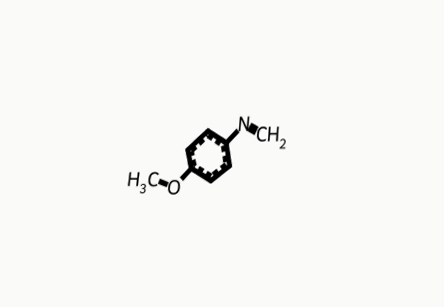 C=Nc1ccc(OC)cc1